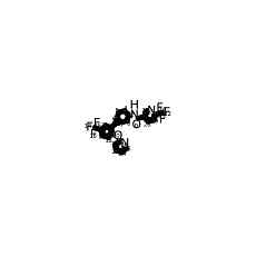 O=C(NC1CCC2C(C1)C2c1cc(C(F)(F)F)ccc1Oc1ccccn1)c1ccc(C(F)(F)F)nc1